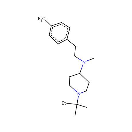 CCC(C)(C)N1CCC(N(C)CCc2ccc(C(F)(F)F)cc2)CC1